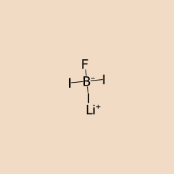 F[B-](I)(I)I.[Li+]